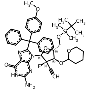 C#C[C@@]1(F)[C@H](OC2CCCCO2)[C@@H](CO[Si](C)(C)C(C)(C)C)O[C@@H]1n1c(C(c2ccccc2)(c2ccccc2)c2ccc(OC)cc2)nc2c(=O)[nH]c(N)nc21